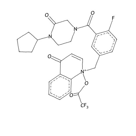 O=C1C=C[N+](Cc2ccc(F)c(C(=O)N3CCN(C4CCCC4)C(=O)C3)c2)(OC(=O)C(F)(F)F)c2ccccc21